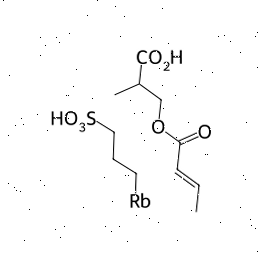 CC=CC(=O)OCC(C)C(=O)O.O=S(=O)(O)CC[CH2][Rb]